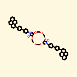 C=C1OCCOCCOC(C(=O)Nc2ccc(-c3ccc(-c4ccc5ccc6cccc7ccc4c5c67)cc3)cc2)C(=C)OCCOCCOC1C(=O)Nc1ccc(-c2ccc(-c3ccc4ccc5cccc6ccc3c4c56)cc2)cc1